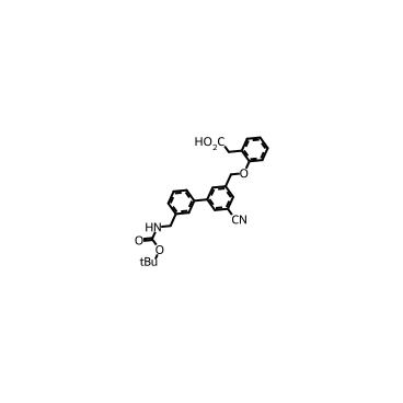 CC(C)(C)OC(=O)NCc1cccc(-c2cc(C#N)cc(COc3ccccc3CC(=O)O)c2)c1